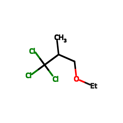 [CH2]COCC(C)C(Cl)(Cl)Cl